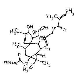 C/C=C(\C)C(=O)OCC1=C[C@@H]2C(O)C3(C=C(C)[C@H](O)[C@@]3(O)[C@@H]1O)C(C)C[C@]1(OC(=O)CCCCCCCCC)[C@H]2C1(C)C